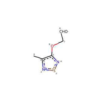 Cc1nsnc1OC[C]=O